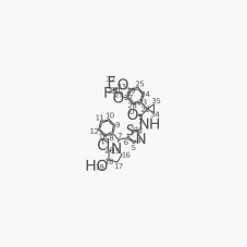 O=C(Nc1ncc(C(c2ccccc2Cl)N2CC[C@@H](O)C2)s1)C1(c2ccc3c(c2)OC(F)(F)O3)CC1